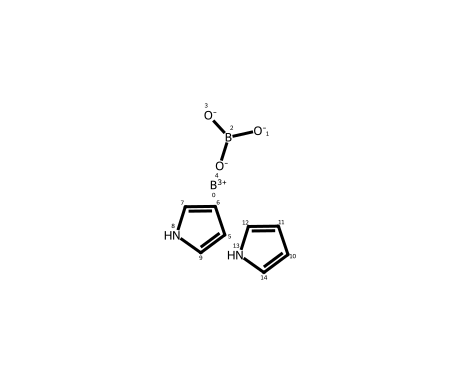 [B+3].[O-]B([O-])[O-].c1cc[nH]c1.c1cc[nH]c1